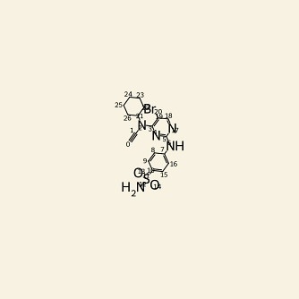 C#CN(c1nc(Nc2ccc(S(N)(=O)=O)cc2)ncc1Br)C1CCCCC1